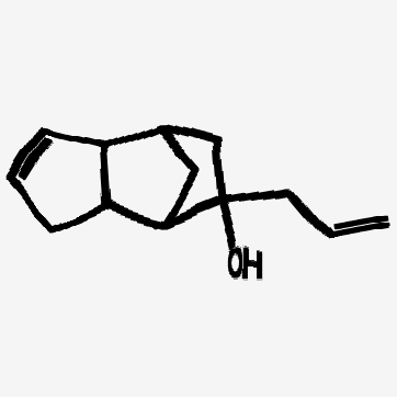 C=CCC1(O)CC2CC1C1CC=CC21